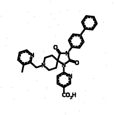 Cc1cccnc1CN1CCC2(CC1)C(=O)N(c1ccc(-c3ccccc3)cc1)C(=O)N2c1ccc(C(=O)O)cn1